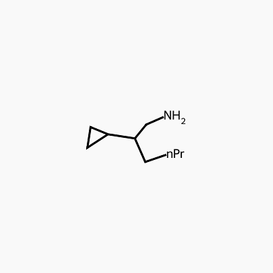 CCCCC(CN)C1CC1